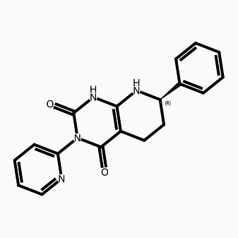 O=c1[nH]c2c(c(=O)n1-c1ccccn1)CC[C@H](c1ccccc1)N2